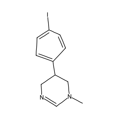 CN1C=NCC(c2ccc(I)cc2)C1